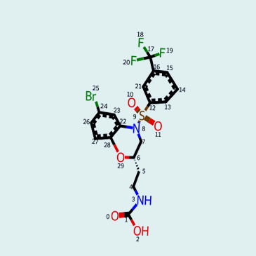 O=C(O)NCC[C@H]1CN(S(=O)(=O)c2cccc(C(F)(F)F)c2)c2cc(Br)ccc2O1